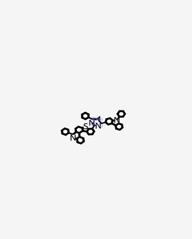 C1=C/C(c2ccc3c(c2)c2ccccc2n3-c2ccccc2)=N\C(c2cccc3c2sc2ccc4c(-c5ccccc5)nc5ccccc5c4c23)=N/C(c2ccccc2)=C/1